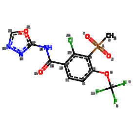 CS(=O)(=O)c1c(OC(F)(F)F)ccc(C(=O)Nc2nnco2)c1Cl